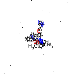 CC(C)c1cccc(C(C)C)c1NC(=O)Nc1c(-c2cccc(OCCCn3cncn3)c2)c2cccnc2n(Cc2ccccc2)c1=O